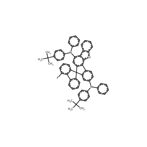 CC(C)(C)c1ccc(N(c2ccccc2)c2ccc3c(c2)C2(c4ccccc4-c4c(F)cccc42)c2cc(N(c4ccccc4)c4ccc(C(C)(C)C)cc4)c4c(oc5ccccc54)c2-3)cc1